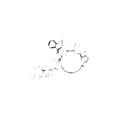 N=C(NP)NCCC[C@@H]1NC(=O)[C@H](Cc2cn(P)c3ccccc23)NC(=O)CNC(=O)[C@@H]2CCCN2C(=O)CCCCC1=O